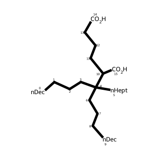 CCCCCCCCCCCCCC(CCCCCCC)(CCCCCCCCCCCCC)C(CCCC(=O)O)C(=O)O